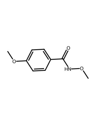 CONC(=O)c1ccc(OC)cc1